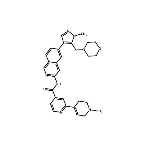 CN1CC=C(c2cc(C(=O)Nc3cc4cc(-c5cnn(C)c5CN5CCOCC5)ccc4cn3)ccn2)CC1